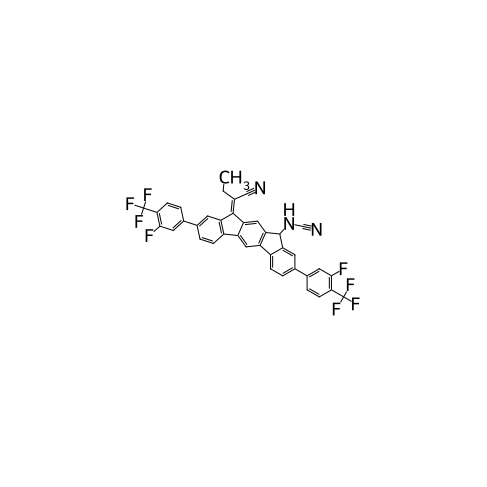 CC/C(C#N)=C1\c2cc(-c3ccc(C(F)(F)F)c(F)c3)ccc2-c2cc3c(cc21)C(NC#N)c1cc(-c2ccc(C(F)(F)F)c(F)c2)ccc1-3